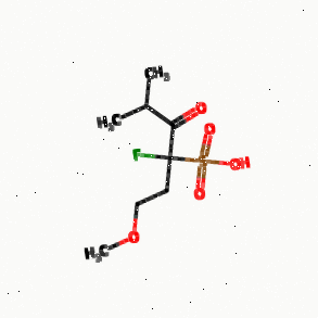 COCCC(F)(C(=O)C(C)C)S(=O)(=O)O